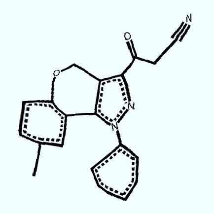 Cc1ccc2c(c1)-c1c(c(C(=O)CC#N)nn1-c1ccccc1)CO2